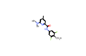 CCCN(c1cc(C)cc(C(=O)Nc2cc(F)c(C(=O)O)c(F)c2)n1)C(C)C